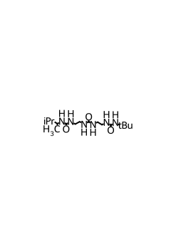 CC(C)C(C)NC(=O)NCCNC(=O)NCCNC(=O)NC(C)(C)C